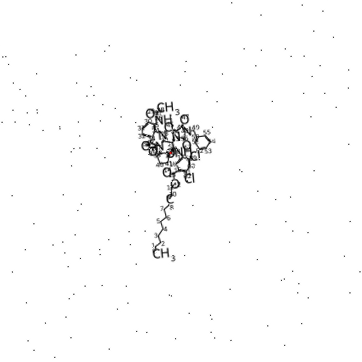 CCCCCCCCCCCCOC(=O)c1cc(NC(=O)C(C2=Nc3c(NC(C)=O)cccc3S(=O)(=O)N2C2CCCC2)N2C(=O)C(=O)N(Cc3ccccc3)C2=O)c(Cl)cc1Cl